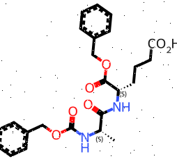 C[C@H](NC(=O)OCc1ccccc1)C(=O)N[C@@H](CCCC(=O)O)C(=O)OCc1ccccc1